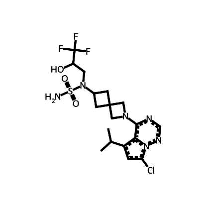 CC(C)c1cc(Cl)n2ncnc(N3CC4(CC(N(CC(O)C(F)(F)F)S(N)(=O)=O)C4)C3)c12